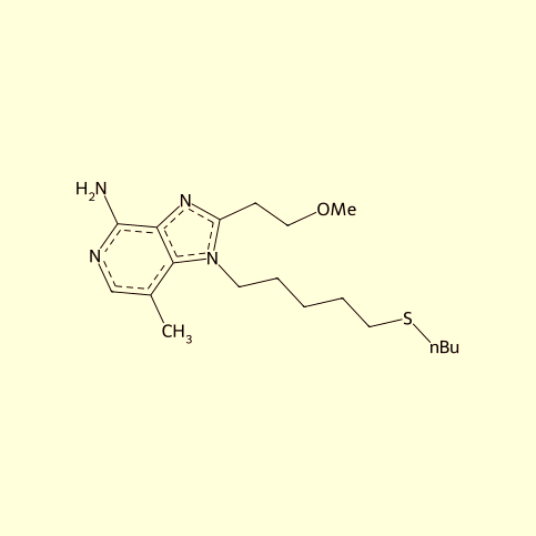 CCCCSCCCCCn1c(CCOC)nc2c(N)ncc(C)c21